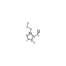 CCCn1ccc(C)c1C=O